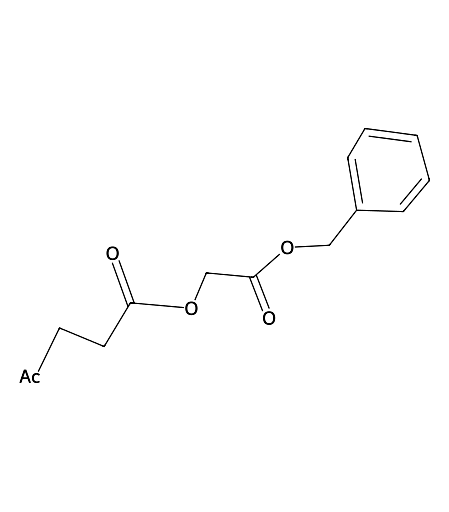 CC(=O)CCC(=O)OCC(=O)OCc1ccccc1